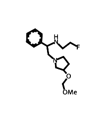 COCOC1CCN(CC(NCCF)c2ccccc2)C1